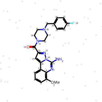 COc1cccc2c1nc(N)n1nc(C(=O)N3CCN(Cc4ccc(F)cc4)CC3)cc21